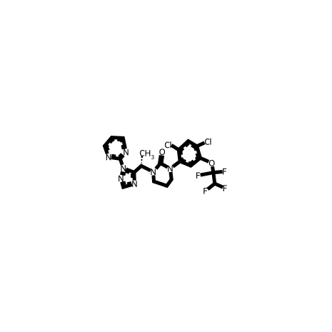 C[C@@H](c1ncnn1-c1ncccn1)N1CCCN(c2cc(OC(F)(F)C(F)F)c(Cl)cc2Cl)C1=O